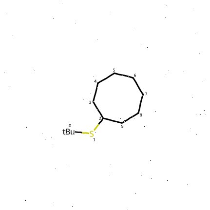 CC(C)(C)SC1CCCCCCC1